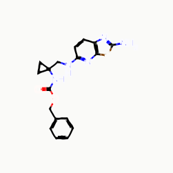 Nc1nc2ccc(NCC3(NC(=O)OCc4ccccc4)CC3)nc2s1